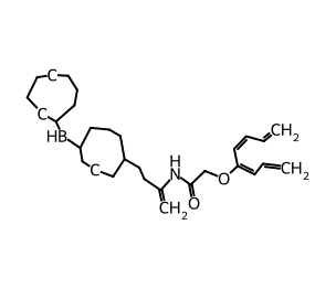 C=C/C=C\C(=C/C=C)OCC(=O)NC(=C)CCC1CCCC(BC2CCCCCCC2)CCC1